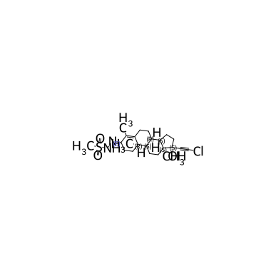 CC1=C2CC[C@@H]3[C@H](CC[C@@]4(C)[C@H]3CC[C@@]4(O)C#CCl)[C@@]2(C)CC/C1=N\NS(C)(=O)=O